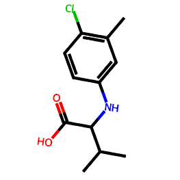 Cc1cc(NC(C(=O)O)C(C)C)ccc1Cl